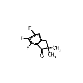 CC1(C)Cc2cc(F)c(F)c(F)c2C1=O